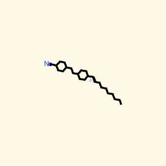 CCCCCCCC/C=C/C1CCC(CCC2CCC(C#N)CC2)CC1